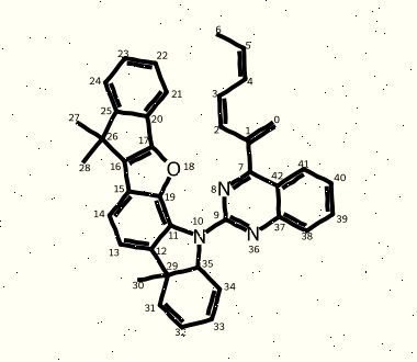 C=C(/C=C\C=C/C)c1nc(N2c3c(ccc4c5c(oc34)-c3ccccc3C5(C)C)C3(C)C=CC=CC23)nc2ccccc12